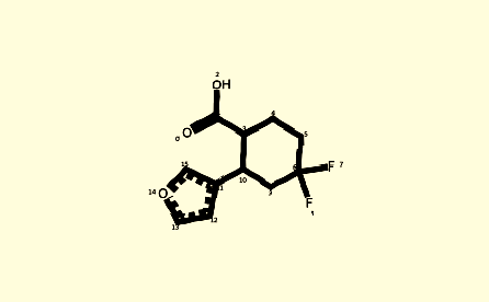 O=C(O)C1CCC(F)(F)CC1c1ccoc1